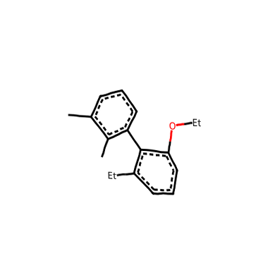 CCOc1cccc(CC)c1-c1cccc(C)c1C